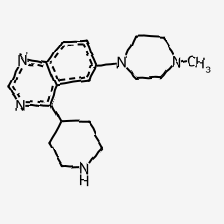 CN1CCN(c2ccc3ncnc(C4CCNCC4)c3c2)CC1